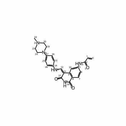 C=CC(=O)Nc1ccc2c(c1)C(=CNc1ccc(N3CCN(C)CC3)cc1)C(=O)NC2=O